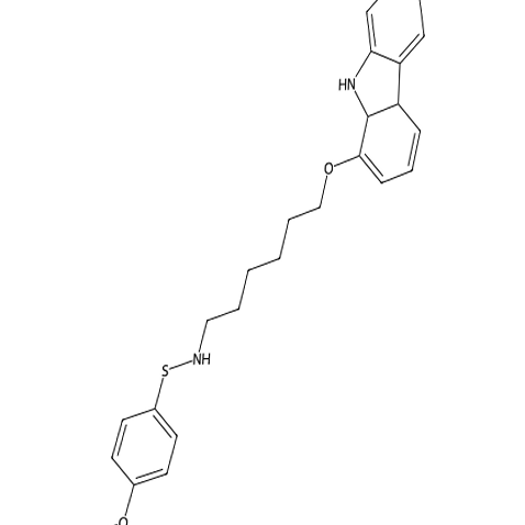 COc1ccc(SNCCCCCCOC2=CC=CC3C4=CCCC=C4NC23)cc1